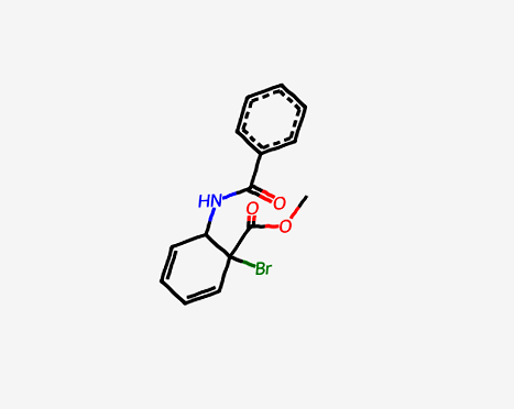 COC(=O)C1(Br)C=CC=CC1NC(=O)c1ccccc1